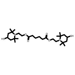 CC1(C)CC(S)CC(C)(C)N1CCOC(=O)CCCCC(=O)OCCN1C(C)(C)CC(S)CC1(C)C